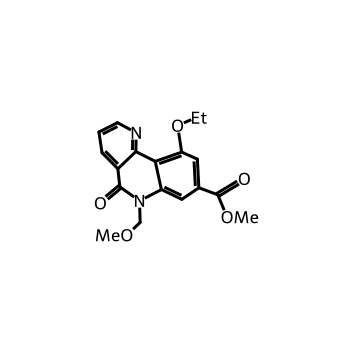 CCOc1cc(C(=O)OC)cc2c1c1ncccc1c(=O)n2COC